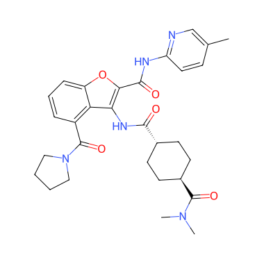 Cc1ccc(NC(=O)c2oc3cccc(C(=O)N4CCCC4)c3c2NC(=O)[C@H]2CC[C@H](C(=O)N(C)C)CC2)nc1